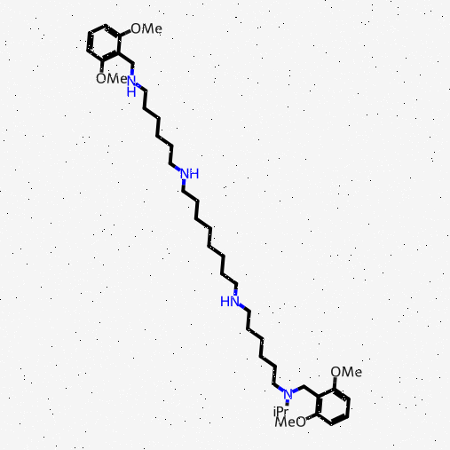 COc1cccc(OC)c1CNCCCCCCNCCCCCCCCNCCCCCCN(Cc1c(OC)cccc1OC)C(C)C